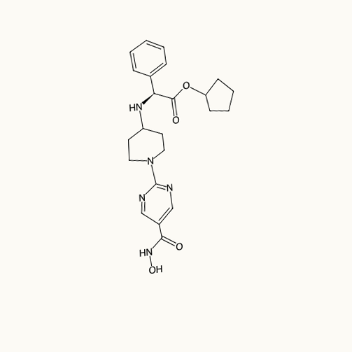 O=C(NO)c1cnc(N2CCC(N[C@H](C(=O)OC3CCCC3)c3ccccc3)CC2)nc1